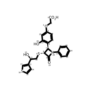 O=C(O)COc1ccc([C@@H]2[C@@H](SC[C@H](O)c3ccsc3)C(=O)N2c2ccccc2)c(O)c1